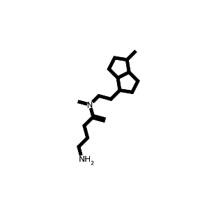 C=C(CCCN)N(C)CCC1CCC2C(C)CCC12